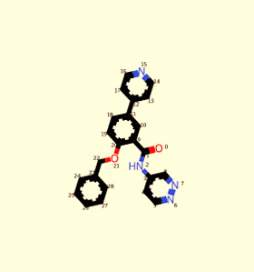 O=C(Nc1ccnnc1)c1cc(-c2ccncc2)ccc1OCc1ccccc1